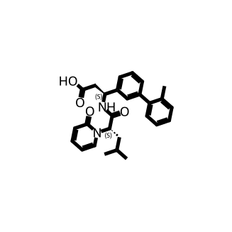 Cc1ccccc1-c1cccc([C@H](CC(=O)O)NC(=O)[C@H](CC(C)C)n2ccccc2=O)c1